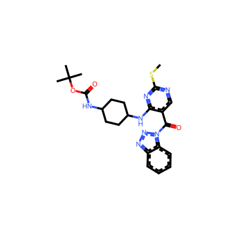 CSc1ncc(C(=O)n2nnc3ccccc32)c(NC2CCC(NC(=O)OC(C)(C)C)CC2)n1